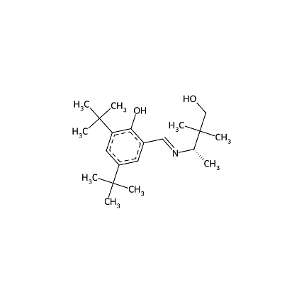 C[C@H](N=Cc1cc(C(C)(C)C)cc(C(C)(C)C)c1O)C(C)(C)CO